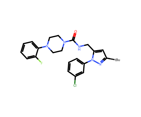 CC(C)(C)c1cc(CNC(=O)N2CCN(c3ccccc3F)CC2)n(-c2cccc(Cl)c2)n1